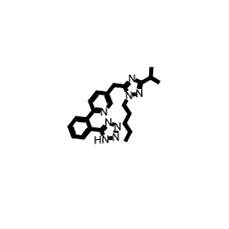 CCCCCn1nc(C(C)C)nc1Cc1ccc(-c2ccccc2-c2nnn[nH]2)nc1